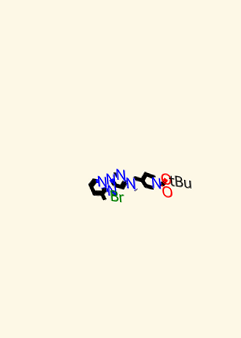 Cc1cccnc1N(Br)c1cc(N(C)CC2CCN(C(=O)OC(C)(C)C)CC2)ncn1